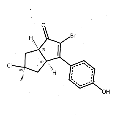 C[C@@]1(Cl)C[C@@H]2C(c3ccc(O)cc3)=C(Br)C(=O)[C@@H]2C1